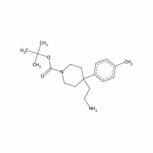 Cc1ccc(C2(CCN)CCN(C(=O)OC(C)(C)C)CC2)cc1